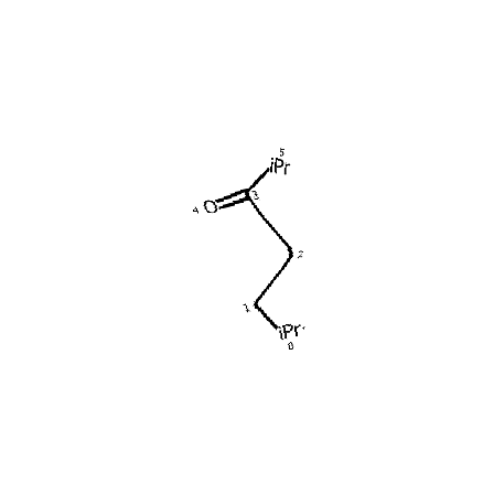 C[C](C)CCC(=O)C(C)C